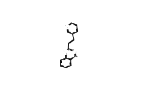 Clc1nc(C=Cc2cccnc2)nc2ccccc12